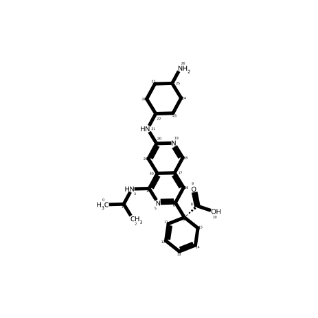 CC(C)Nc1nc([C@]2(C(=O)O)C=CC=CC2)cc2cnc(NC3CCC(N)CC3)cc12